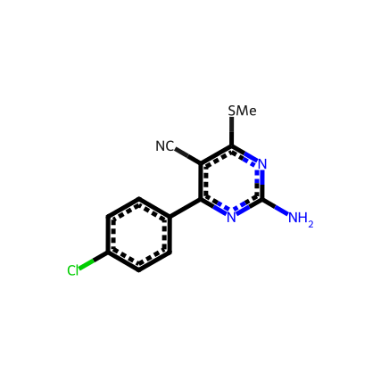 CSc1nc(N)nc(-c2ccc(Cl)cc2)c1C#N